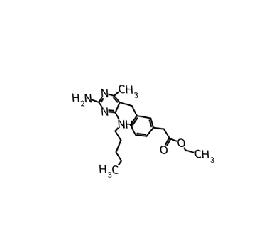 CCCCCNc1nc(N)nc(C)c1Cc1cccc(CC(=O)OCC)c1